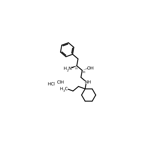 CCCC1(NC[C@@H](O)[C@@H](N)Cc2ccccc2)CCCCC1.Cl.Cl